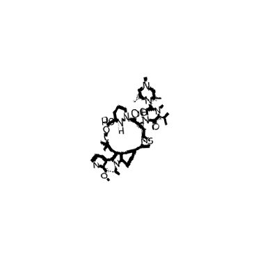 CCn1c(-c2cccnc2[C@H](C)OC)c2c3cc(ccc31)-c1csc(n1)C[C@H](NC(=O)[C@H](C(C)C)N(C)C(=O)N1[C@H](C)CN(C)C[C@H]1C)C(=O)N1CCC[C@@](O)(N1)C(=O)OCC(C)(C)C2